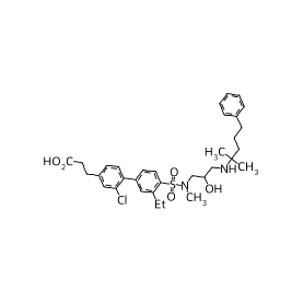 CCc1cc(-c2ccc(CCC(=O)O)cc2Cl)ccc1S(=O)(=O)N(C)CC(O)CNC(C)(C)CCCc1ccccc1